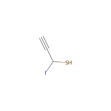 C#CC(S)I